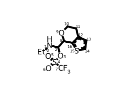 CCNC(OS(=O)(=O)C(F)(F)F)C1OCCc2ccsc21